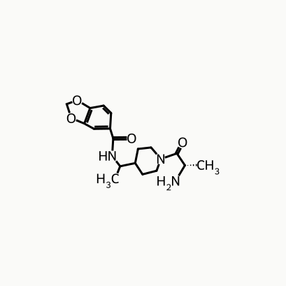 CC(NC(=O)c1ccc2c(c1)OCO2)C1CCN(C(=O)[C@H](C)N)CC1